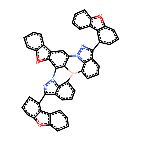 c1ccc2c(c1)oc1c3c4c(cc12)-n1nc(-c2cccc5oc6ccccc6c25)c2cccc(c21)B4c1cccc2c(-c4cccc5oc6ccccc6c45)nn-3c12